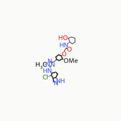 COc1cc(-c2nc(Nc3ccc4[nH]ncc4c3Cl)n(C)n2)ccc1OCC(=O)N[C@@H]1CCCC[C@H]1O